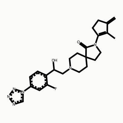 C=C1CCC(N2CCC3(CCN(CC(O)c4ccc(-n5cnnn5)cc4F)CC3)C2=O)=C1C